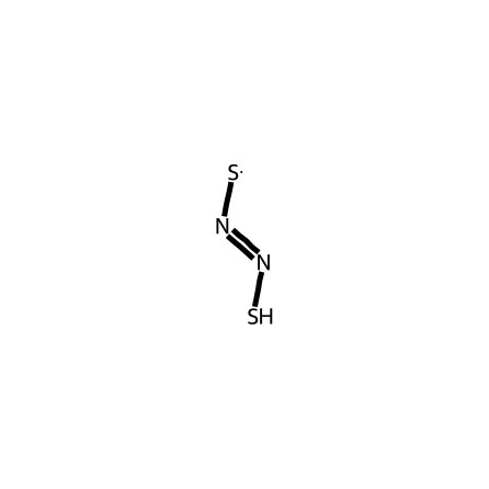 [S]N=NS